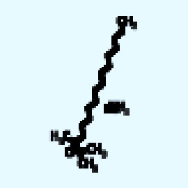 CCCCCCCCCCCCCCC1(C)OC1(C)C.Cl.N